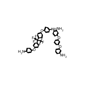 Nc1ccc(Oc2ccc(C(c3ccc(Oc4ccc(Nc5ccc(Oc6cccc(Oc7cccc(N)c7)c6)cc5N)cc4)cc3)(C(F)(F)F)C(F)(F)F)cc2)cc1